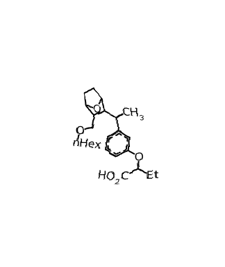 CCCCCCOCC1C2CCC(O2)C1C(C)c1cccc(OC(CC)C(=O)O)c1